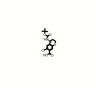 CC(C)(C)OC(=O)N[C@H]1CCSc2cc(C(=O)O)c(Cl)cc21